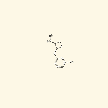 CCCN[C@H]1CCC1Oc1cccc(C#N)c1